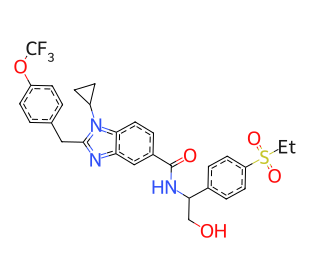 CCS(=O)(=O)c1ccc(C(CO)NC(=O)c2ccc3c(c2)nc(Cc2ccc(OC(F)(F)F)cc2)n3C2CC2)cc1